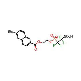 CCC(C)c1ccc2cc(C(=O)OCCOS(=O)(=O)C(F)(F)C(F)(F)S(=O)(=O)O)ccc2c1